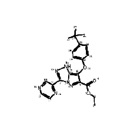 CCOC(=O)c1nn2c(-c3cnccn3)n[nH]c2c1Oc1ccc(C(C)(C)C)cc1